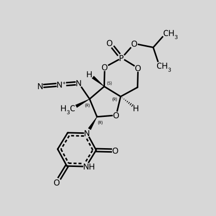 CC(C)OP1(=O)OC[C@H]2O[C@@H](n3ccc(=O)[nH]c3=O)[C@](C)(N=[N+]=[N-])[C@@H]2O1